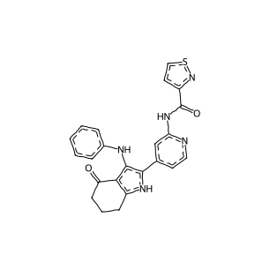 O=C(Nc1cc(-c2[nH]c3c(c2Nc2ccccc2)C(=O)CCC3)ccn1)c1ccsn1